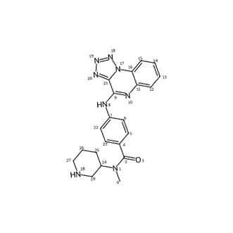 CN(C(=O)c1ccc(Nc2nc3ccccc3n3nnnc23)cc1)C1CCCNC1